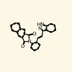 O=C1c2cc3ccccc3cc2C(=O)N1c1ccccc1/C=C/c1n[nH]c2ccccc12